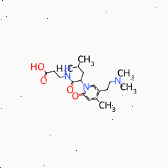 Cc1cc(=O)n(C(CC(C)C)C(=O)NCCC(=O)O)cc1CCN(C)C